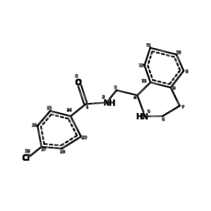 O=C(NCC1NCCc2ccccc21)c1ccc(Cl)cc1